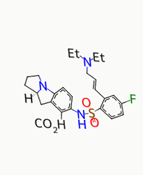 CCN(CC)CC=Cc1cc(F)ccc1S(=O)(=O)Nc1ccc2c(c1C(=O)O)C[C@H]1CCCN21